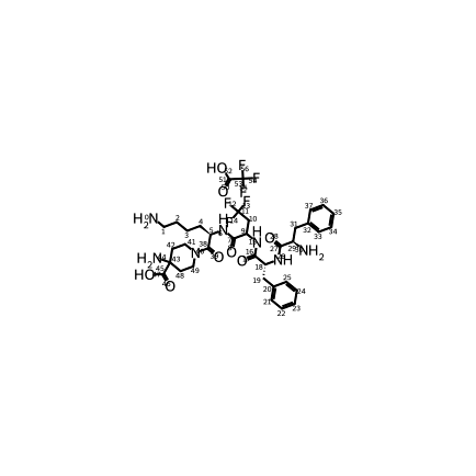 NCCCC[C@@H](NC(=O)C(CC(F)(F)F)NC(=O)[C@@H](Cc1ccccc1)NC(=O)[C@H](N)Cc1ccccc1)C(=O)N1CCC(N)(C(=O)O)CC1.O=C(O)C(F)(F)F